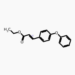 CCOC(=O)/C=C/c1ccc(Oc2ccccc2)cc1